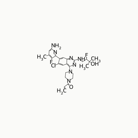 C=CC(=O)N1CCN(c2nc(NC[C@@H](F)C(C)(C)O)nc3cc(-c4nc(N)cc(C)c4F)c(Cl)cc23)CC1